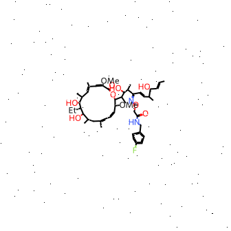 CC=CC(O)C(C)C=CC(=NOCC(=O)NCc1ccc(F)cc1)C(C)C(O)C(C)C1OC(=O)C(OC)=CC(C)=CC(C)C(O)C(CC)C(O)C(C)CC(C)=CC=CC1OC